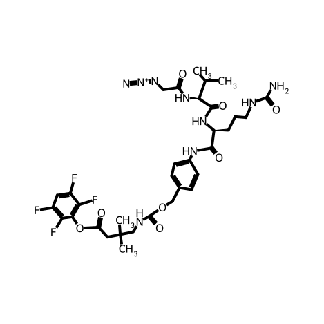 CC(C)[C@H](NC(=O)CN=[N+]=[N-])C(=O)N[C@@H](CCCNC(N)=O)C(=O)Nc1ccc(COC(=O)NCC(C)(C)CC(=O)Oc2c(F)c(F)cc(F)c2F)cc1